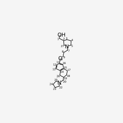 OCC1CCCN(CCCOc2ccc3c(c2)CCC(CN2CCCC2)C3)C1